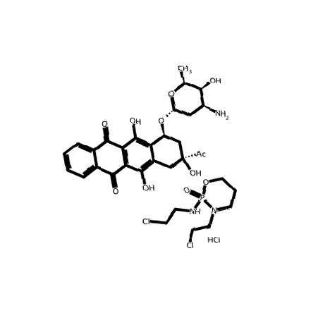 CC(=O)[C@]1(O)Cc2c(O)c3c(c(O)c2[C@@H](O[C@H]2C[C@H](N)[C@H](O)[C@H](C)O2)C1)C(=O)c1ccccc1C3=O.Cl.O=P1(NCCCl)OCCCN1CCCl